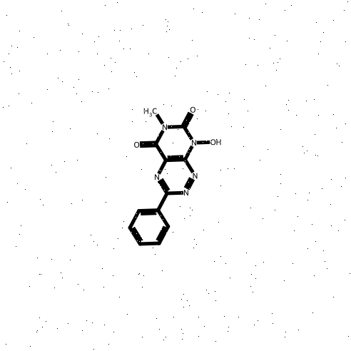 Cn1c(=O)c2nc(-c3ccccc3)nnc2n(O)c1=O